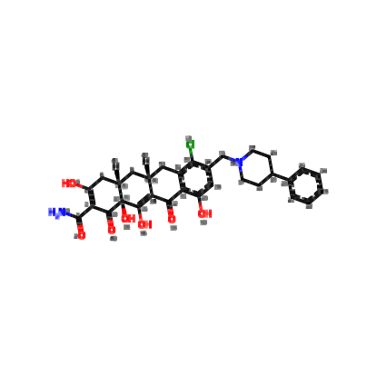 NC(=O)C1=C(O)C[C@@H]2C[C@@H]3Cc4c(Cl)c(CN5CCC(c6ccccc6)CC5)cc(O)c4C(=O)C3=C(O)[C@]2(O)C1=O